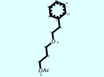 CC(=O)OCCCOCCc1ccccc1